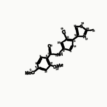 COc1ccc(C(=O)Nc2ccc(-c3csc(C)n3)c(Cl)c2)c(OC)c1